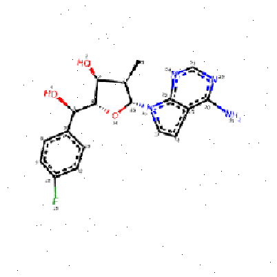 C[C@@H]1[C@H](O)[C@@H]([C@H](O)c2ccc(F)cc2)O[C@H]1n1ccc2c(N)ncnc21